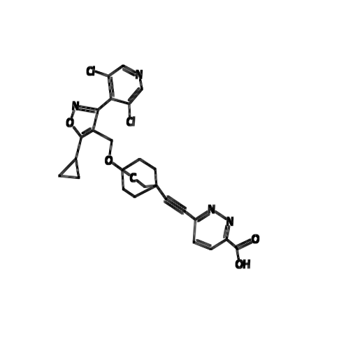 O=C(O)c1ccc(C#CC23CCC(OCc4c(-c5c(Cl)cncc5Cl)noc4C4CC4)(CC2)CC3)nn1